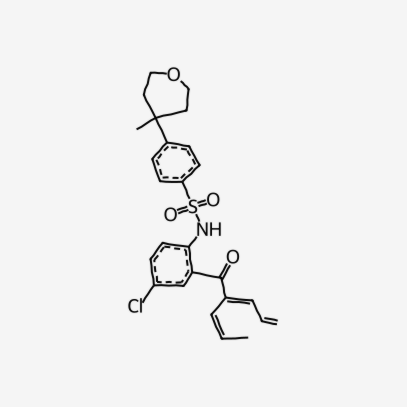 C=C/C=C(\C=C/C)C(=O)c1cc(Cl)ccc1NS(=O)(=O)c1ccc(C2(C)CCOCC2)cc1